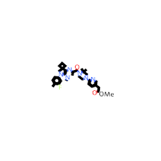 C=NC1=C(/N=C(\C)C(=O)N2CCN(c3ccc(CC(=O)OC)cn3)CC2(C)C)C2(CCC2)CN1c1ccc(C)c(F)c1